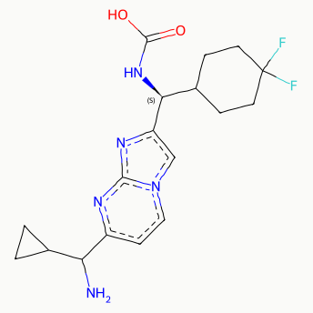 NC(c1ccn2cc([C@@H](NC(=O)O)C3CCC(F)(F)CC3)nc2n1)C1CC1